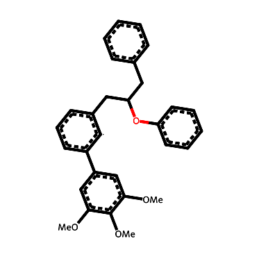 COc1cc(-c2[c]c(CC(Cc3ccccc3)Oc3ccccc3)ccc2)cc(OC)c1OC